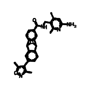 Cc1cc(N)nc(C)c1CNC(=O)c1ccc2c(c1)C1OC2c2cc(-c3c(C)noc3C)ccc21